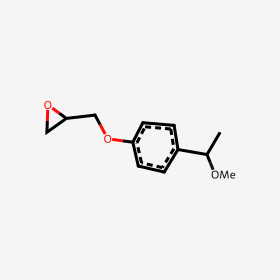 COC(C)c1ccc(OCC2CO2)cc1